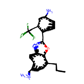 CCCc1cc(N)cc2nc(-c3ccc(N)cc3C(F)(F)F)oc12